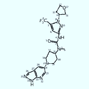 CN(C(=O)Nc1cc(C(F)(F)F)n(C2CCOC2)n1)C1CCN(c2cnc3[nH]ncc3c2)CC1